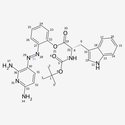 CC(C)(C)OC(=O)N[C@@H](Cc1c[nH]c2ccccc12)C(=O)Oc1ccccc1/N=N/c1ccc(N)nc1N